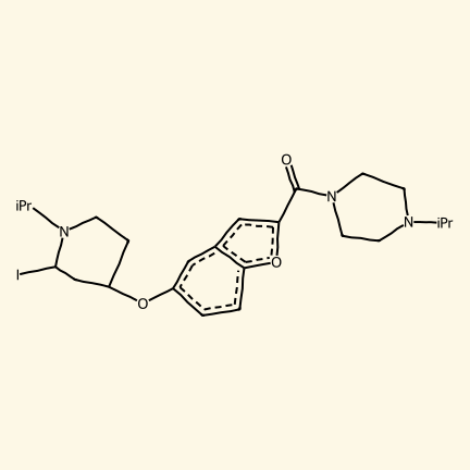 CC(C)N1CCN(C(=O)c2cc3cc(OC4CCN(C(C)C)C(I)C4)ccc3o2)CC1